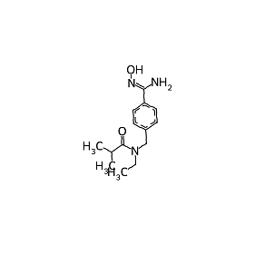 CCN(Cc1ccc(/C(N)=N/O)cc1)C(=O)C(C)C